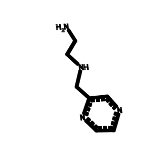 NCCNCc1cnccn1